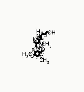 COc1cc(OC)c(F)c(N2Cc3cnc4[nH]c(CCCO)cc4c3N(C)C2=O)c1F